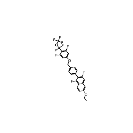 CCOc1ccc2c(F)c(-c3ccc(COc4cc(F)c(C(F)(F)OC(F)(F)F)c(F)c4)cc3)c(F)cc2c1